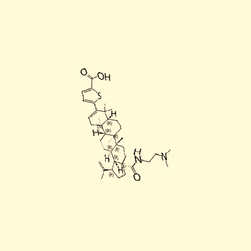 C=C(C)[C@@H]1CC[C@]2(C(=O)NCCN(C)C)CC[C@]3(C)[C@H](CC[C@@H]4[C@@]5(C)CC=C(c6ccc(C(=O)O)s6)C(C)(C)[C@@H]5CC[C@]43C)[C@@H]12